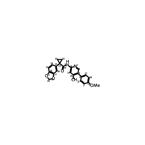 COc1ccc(-c2cnc(NC(=O)C3(c4ccc5c(c4)OCO5)CC3)cc2C)cc1